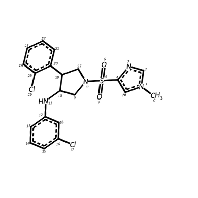 Cn1cnc(S(=O)(=O)N2CC(Nc3cccc(Cl)c3)C(c3ccccc3Cl)C2)c1